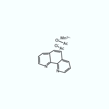 CC(=O)[O-].CC(=O)[O-].[Mn+2].c1cnc2c(c1)ccc1cccnc12